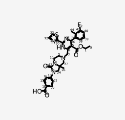 CCOC(=O)C1=C(CN2CCN3C(=O)N(c4ccc(C(=O)O)cc4)CC3(C)C2)NC(c2nccs2)=NC1c1cccc(F)c1C